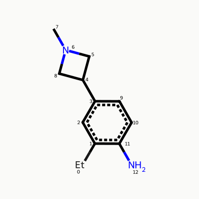 CCc1cc(C2CN(C)C2)ccc1N